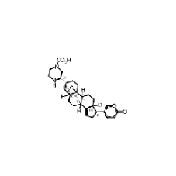 C[C@]12CCC([C@H]3CN(C(=O)O)CCN3)C[C@H]1CC[C@H]1C3=CC[C@H](c4ccc(=O)oc4)[C@@]3(C)CC[C@@H]12